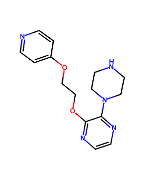 c1cc(OCCOc2nccnc2N2CCNCC2)ccn1